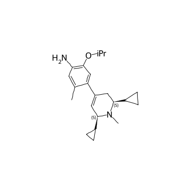 Cc1cc(N)c(OC(C)C)cc1C1=C[C@H](C2CC2)N(C)[C@H](C2CC2)C1